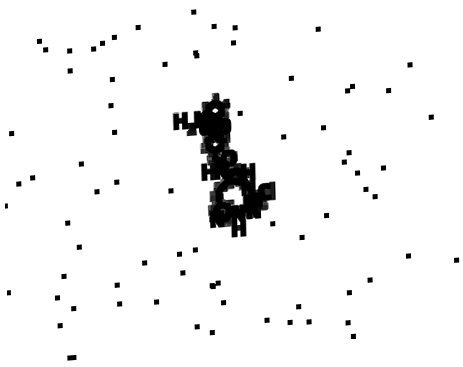 Nc1ccccc1S(=O)(=O)N1CCC(CC(=O)Nc2ccc3cc2CCC2C=NC=C(C2)Nc2ncc(Cl)c(n2)N3)CC1